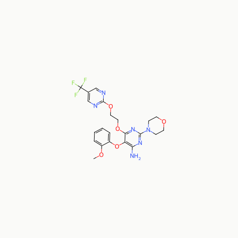 COc1ccccc1Oc1c(N)nc(N2CCOCC2)nc1OCCOc1ncc(C(F)(F)F)cn1